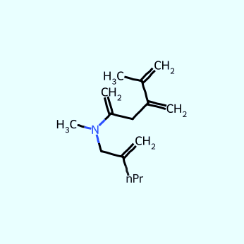 C=C(CCC)CN(C)C(=C)CC(=C)C(=C)C